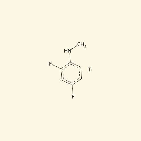 CNc1ccc(F)[c]c1F.[Ti]